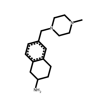 CN1CCN(Cc2ccc3c(c2)CCC(N)C3)CC1